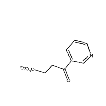 CCOC(=O)CCC(=O)c1cccnc1